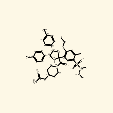 CCOc1cc(C)c(S(=O)(=O)N(C)OC)cc1C1(C(=O)N2CCN(CC(N)=O)CC2)N[C@H](c2ccc(Cl)cc2)[C@H](c2ccc(Cl)cc2)N1